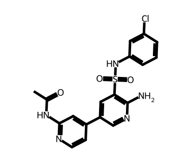 CC(=O)Nc1cc(-c2cnc(N)c(S(=O)(=O)Nc3cccc(Cl)c3)c2)ccn1